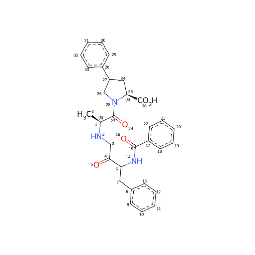 C[C@H](NCC(=O)C(Cc1ccccc1)NC(=O)c1ccccc1)C(=O)N1CC(c2ccccc2)C[C@H]1C(=O)O